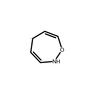 [CH]1C=CNOC=C1